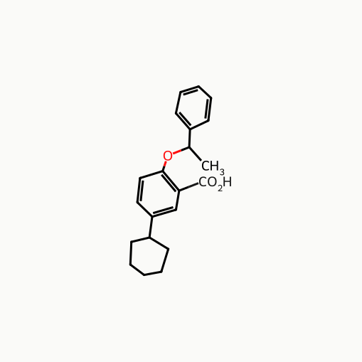 CC(Oc1ccc(C2CCCCC2)cc1C(=O)O)c1ccccc1